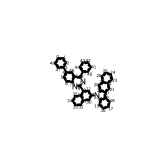 c1ccc(-c2ccc3nc(-c4cc(-n5c6ccccc6c6cc7ccccc7cc65)cc5ccccc45)nc(-c4ccccc4)c3c2)cc1